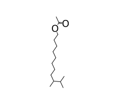 CC(=O)OCCCCCCCCC(C)C(C)C